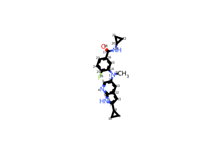 CN(c1cnc2[nH]c(C3CC3)cc2c1)c1cc(C(=O)NC2CC2)ccc1F